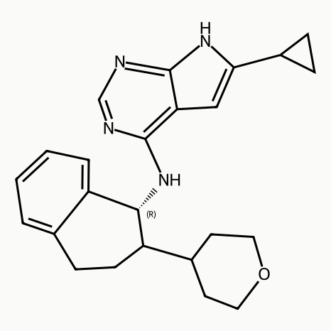 c1ccc2c(c1)CCC(C1CCOCC1)[C@H]2Nc1ncnc2[nH]c(C3CC3)cc12